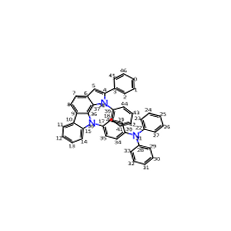 c1ccc(-c2cc3ccc4c5ccccc5n(-c5ccc(N(c6ccccc6)c6ccccc6)cc5)c4c3n2-c2ccccc2)cc1